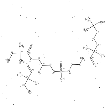 COC(C)(C)CCOC(C)(C)C(=O)NCCOP(=O)(O)OCC(COC(=O)C(C)(C)CC(C)(C)C)OC(=O)C(C)(C)CC(C)(C)C